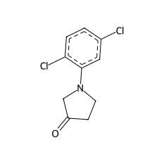 O=C1CCN(c2cc(Cl)ccc2Cl)C1